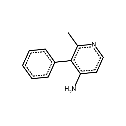 Cc1nccc(N)c1-c1ccccc1